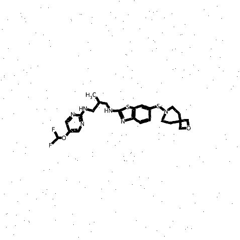 CC(CNc1ncc(OC(F)F)cn1)CNc1nc2ccc(SN3CCC4(CC3)COC4)cc2s1